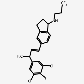 Fc1c(Cl)cc(C(C=Cc2ccc3c(c2)CCC3NCCC(F)(F)F)C(F)(F)F)cc1Cl